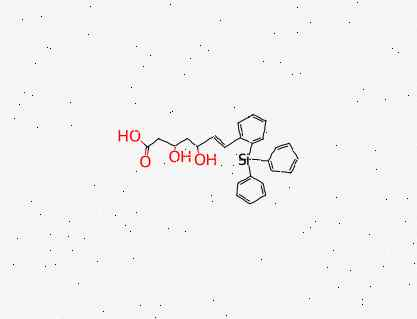 C[Si](c1ccccc1)(c1ccccc1)c1ccccc1C=CC(O)CC(O)CC(=O)O